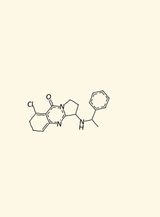 CC(NC1CCn2c1nc1c(c2=O)=C(Cl)CCC=1)c1ccccc1